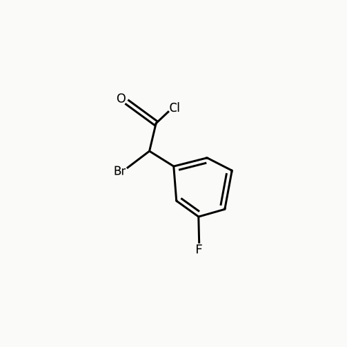 O=C(Cl)C(Br)c1cccc(F)c1